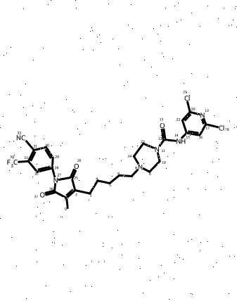 CC1=C(CCCCCN2CCN(C(=O)Nc3cc(Cl)nc(Cl)c3)CC2)C(=O)N(c2ccc(C#N)c(C(F)(F)F)c2)C1=O